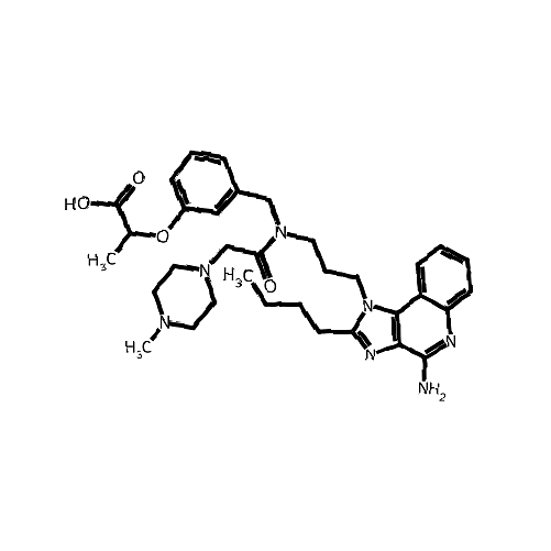 CCCCc1nc2c(N)nc3ccccc3c2n1CCCN(Cc1cccc(OC(C)C(=O)O)c1)C(=O)CN1CCN(C)CC1